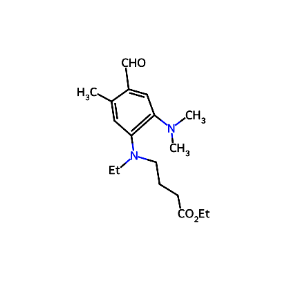 CCOC(=O)CCCN(CC)c1cc(C)c(C=O)cc1N(C)C